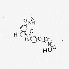 Cc1ccc(C(=O)NC2CC2)cc1-n1cnc2ccc(OCC3CN(C(=O)O)CCO3)cc2c1=O